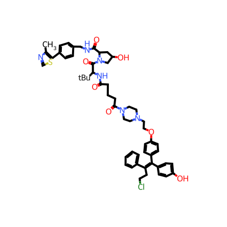 Cc1ncsc1-c1ccc(CNC(=O)C2CC(O)CN2C(=O)C(NC(=O)CCCC(=O)N2CCN(CCOc3ccc(C(=C(CCCl)c4ccccc4)c4ccc(O)cc4)cc3)CC2)C(C)(C)C)cc1